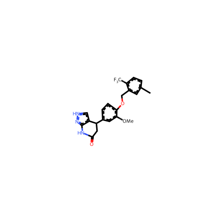 COc1cc(C2CC(=O)Nc3n[nH]cc32)ccc1OCc1cc(C)ccc1C(F)(F)F